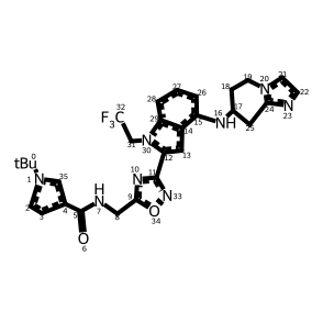 CC(C)(C)n1ccc(C(=O)NCc2nc(-c3cc4c(NC5CCn6ccnc6C5)cccc4n3CC(F)(F)F)no2)c1